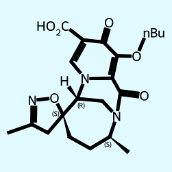 CCCCOc1c2n(cc(C(=O)O)c1=O)[C@@H]1CN(C2=O)[C@@H](C)CC[C@]12CC(C)=NO2